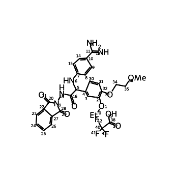 CCOc1cc(C(Nc2ccc(C(=N)N)cc2)C(=O)NN2C(=O)c3ccccc3C2=O)ccc1OCCOC.O=C(O)C(F)(F)F